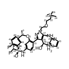 C[C@@H](Oc1cc(NS(=O)(=O)C(F)F)ccc1-c1nn(COCC[Si](C)(C)C)c(Nc2cnccn2)c1C(N)O)c1ccc(F)cc1